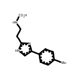 CC(C)(C)c1ccc(-c2c[nH]c(CCNC(=O)O)n2)cc1